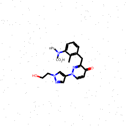 CCCN(C(=O)O)c1cccc(Cc2nn(-c3cnn(CCO)c3)ccc2=O)c1C